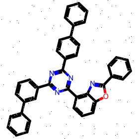 c1ccc(-c2ccc(-c3nc(-c4cccc(-c5ccccc5)c4)nc(-c4cccc5oc(-c6ccccc6)nc45)n3)cc2)cc1